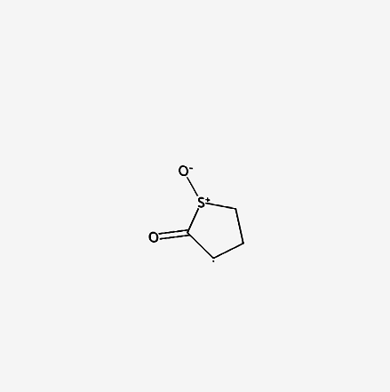 O=C1[CH]CC[S+]1[O-]